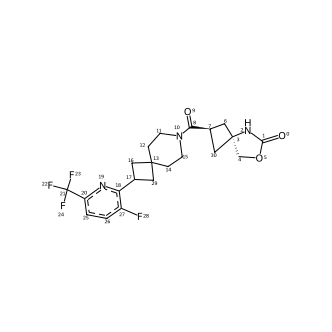 O=C1N[C@]2(CO1)C[C@H](C(=O)N1CCC3(CC1)CC(c1nc(C(F)(F)F)ccc1F)C3)C2